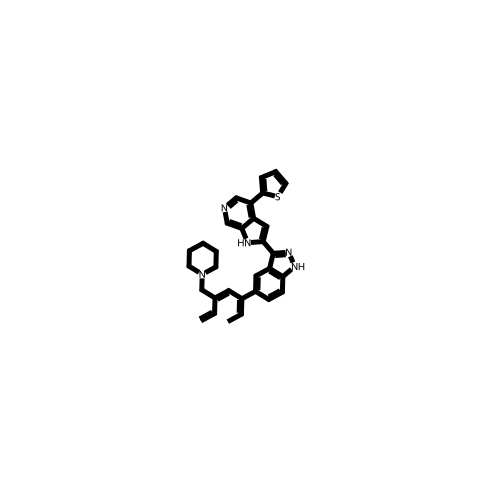 C=C/C(=C\C(=C/C)c1ccc2[nH]nc(-c3cc4c(-c5cccs5)cncc4[nH]3)c2c1)CN1CCCCC1